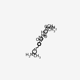 C[C@@H]1CCN(CCc2ccc(-n3ccc(NC(=O)N4CCN(C(=O)C(C)(C)N)CC4)nc3=O)cc2)CC[C@H]1N